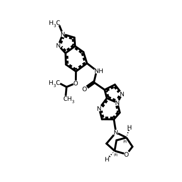 CC(C)Oc1cc2nn(C)cc2cc1NC(=O)c1cnn2cc(N3C[C@H]4C[C@@H]3CO4)cnc12